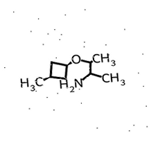 CC(N)C(C)O[C@H]1C[C@@H](C)C1